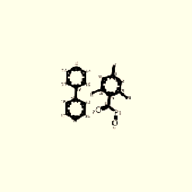 Cc1cc(C)c(C(=O)P=O)c(C)c1.c1ccc(-c2ccccc2)cc1